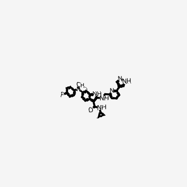 CN(c1ccc(F)cc1)c1ccc2c(C(=O)NC3CC3)c(NCc3cccc(-c4cn[nH]c4)n3)[nH]c2c1